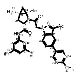 CC(=O)c1nn(CC(=O)N2[C@H](C(=O)Nc3cc(C(C)C)cc(Br)n3)C[C@@]3(C)C[C@@H]23)c2ccc(-c3cnc(C)nc3)cc12